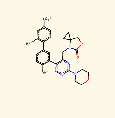 COc1ccc(-c2ccc(C(=O)O)cc2C)cc1-c1cnc(N2CCOCC2)nc1CN1C(=O)OCC12CC2